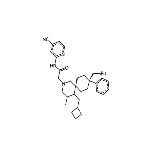 CCC(C)C[C@]1(c2ccccc2)CC[C@]2(CC1)CN(CC(=O)Nc1nccc(C#N)n1)CC(C)C2CC1CCC1